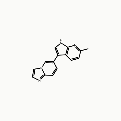 Cc1ccc2c(-c3ccc4nccn4c3)c[nH]c2n1